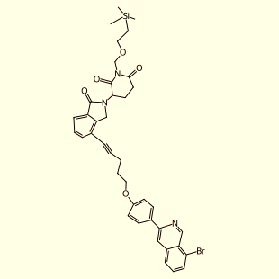 C[Si](C)(C)CCOCN1C(=O)CCC(N2Cc3c(C#CCCCOc4ccc(-c5cc6cccc(Br)c6cn5)cc4)cccc3C2=O)C1=O